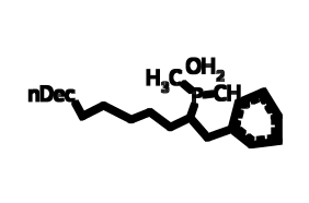 CCCCCCCCCCCCCCCC(Cc1ccccc1)P(C)C.O